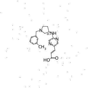 Cc1cccc(CN2CC[C@@H](Nc3cnc(C=CC(=O)O)cn3)C2)c1